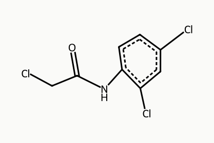 O=C(CCl)Nc1ccc(Cl)cc1Cl